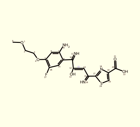 COCCOc1cc(N)c(C(=N)/C(O)=C/C(=N)c2nc(C(=O)O)cs2)cc1F